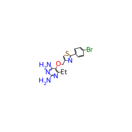 CCc1nc(N)nc(N)c1OCc1csc(-c2ccc(Br)cc2)n1